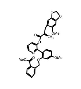 C=C(Cc1cc2c(cc1OC)OCO2)C(=O)Oc1cccnc1-c1ccc(OC)cc1OCc1ccccc1C(=O)OC